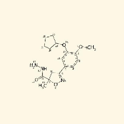 COc1ccc(C2=NOC(C)(C(=O)NN)C2)cc1OC1CCCC1